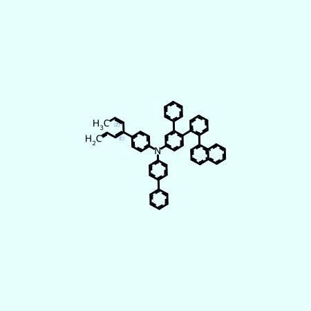 C=C/C=C(\C=C/C)c1ccc(N(c2ccc(-c3ccccc3)cc2)c2ccc(-c3ccccc3-c3cccc4ccccc34)c(-c3ccccc3)c2)cc1